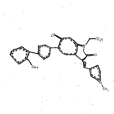 Cn1ccc(/C=C2\C(=O)N(CC(=O)O)c3cc(Cl)c(-c4ccc(-c5ccccc5O)cc4)cc32)c1